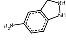 Nc1ccc2c(c1)CNN2